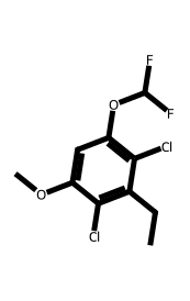 CCc1c(Cl)c(OC)cc(OC(F)F)c1Cl